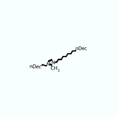 CCCCCCCCCCCCCCCCCCC[n+]1ccn(CCCCCCCCCCCC)c1C